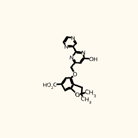 CC1(C)Cc2c(OCc3cc(O)nc(-c4cnccn4)n3)cc(C(=O)O)cc2O1